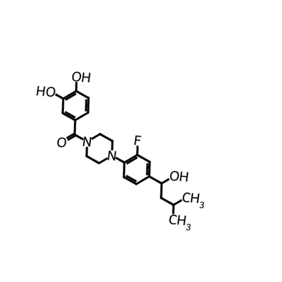 CC(C)CC(O)c1ccc(N2CCN(C(=O)c3ccc(O)c(O)c3)CC2)c(F)c1